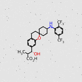 C[C@H](C(=O)O)[C@@H](O)c1ccc2c(c1)OC1(CC2)CCC(Nc2cc(C(F)(F)F)ccc2C(F)(F)F)CC1